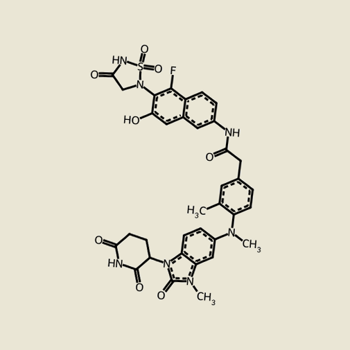 Cc1cc(CC(=O)Nc2ccc3c(F)c(N4CC(=O)NS4(=O)=O)c(O)cc3c2)ccc1N(C)c1ccc2c(c1)n(C)c(=O)n2C1CCC(=O)NC1=O